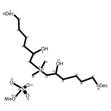 CCCCCCCCCCCCCCC(O)C[N+](C)(C)CC(O)CCCCCCCCCCCCCC.COS(=O)(=O)[O-]